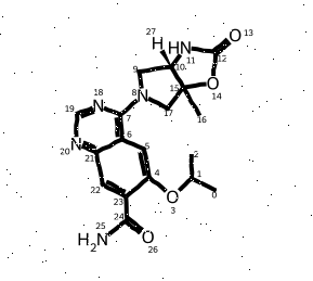 CC(C)Oc1cc2c(N3C[C@@H]4NC(=O)OC4(C)C3)ncnc2cc1C(N)=O